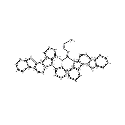 C/C=C\C=C(/C(c1c(C#N)cccc1-n1c2ccccc2c2c3oc4ccccc4c3ccc21)C(F)(F)F)n1c2ccccc2c2c3oc4ccccc4c3ccc21